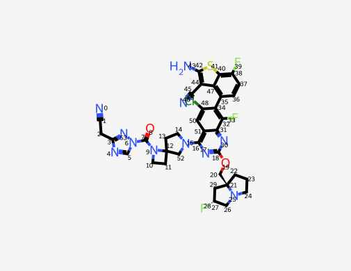 N#CCc1ncn(C(=O)N2CCC23CCN(c2nc(OC[C@@]45CCCN4C[C@H](F)C5)nc4c(F)c(-c5ccc(F)c6sc(N)c(C#N)c56)c(Cl)cc24)C3)n1